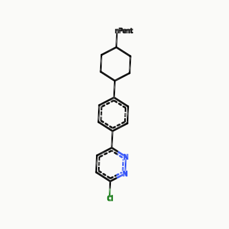 CCCCCC1CCC(c2ccc(-c3ccc(Cl)nn3)cc2)CC1